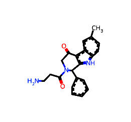 Cc1ccc2[nH]c3c(c2c1)C(=O)CN(C(=O)CCN)C3c1ccccc1